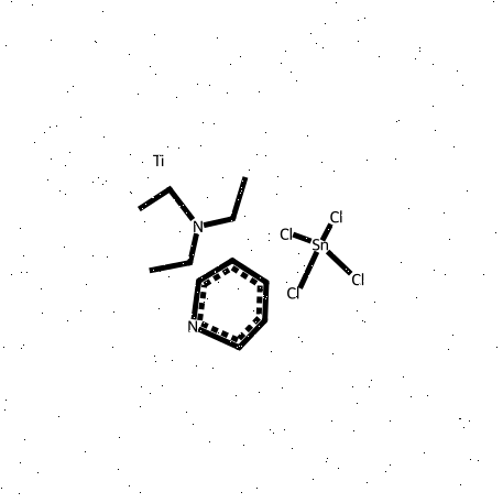 CCN(CC)CC.[Cl][Sn]([Cl])([Cl])[Cl].[Ti].c1ccncc1